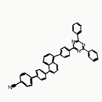 N#Cc1ccc(-c2ccc(-c3cccc4c(-c5ccc(-c6nc(-c7ccccc7)nc(-c7ccccc7)n6)cc5)cccc34)cc2)cc1